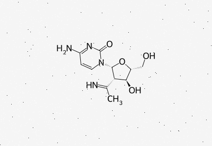 CC(=N)[C@H]1[C@H](O)[C@@H](CO)O[C@H]1n1ccc(N)nc1=O